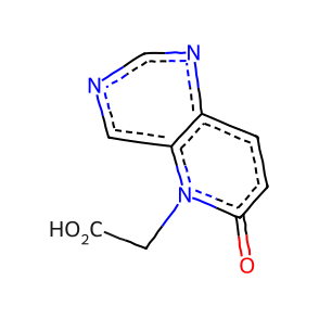 O=C(O)Cn1c(=O)ccc2ncncc21